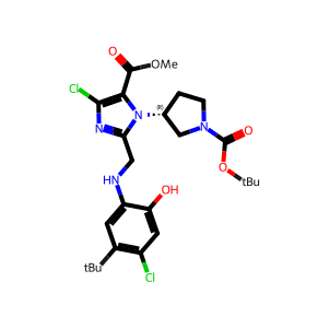 COC(=O)c1c(Cl)nc(CNc2cc(C(C)(C)C)c(Cl)cc2O)n1[C@@H]1CCN(C(=O)OC(C)(C)C)C1